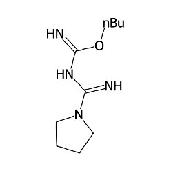 CCCCOC(=N)NC(=N)N1CCCC1